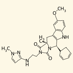 COc1ccc2[nH]c3c(c2c1)C[C@@]1(C)C(=O)N(CCNc2ccn(C)n2)C(=O)N1[C@@H]3C1C=CC=CC1